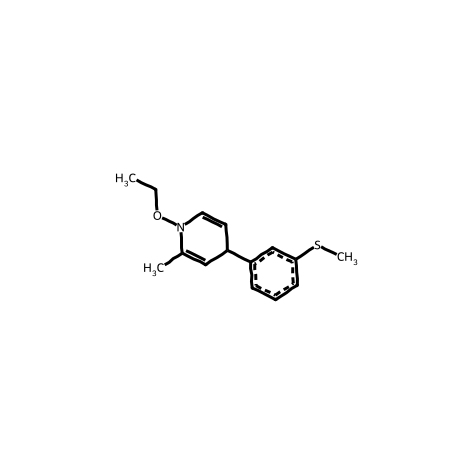 CCON1C=CC(c2cccc(SC)c2)C=C1C